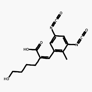 Cc1c(C=C(CCCCO)C(=O)O)cc(N=C=O)cc1N=C=O